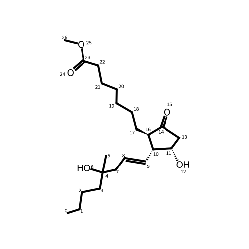 CCCCC(C)(O)C/C=C/[C@H]1[C@@H](O)CC(=O)[C@@H]1CCCCCCC(=O)OC